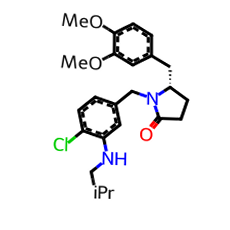 COc1ccc(C[C@@H]2CCC(=O)N2Cc2ccc(Cl)c(NCC(C)C)c2)cc1OC